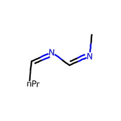 CCC/C=N\C=N/C